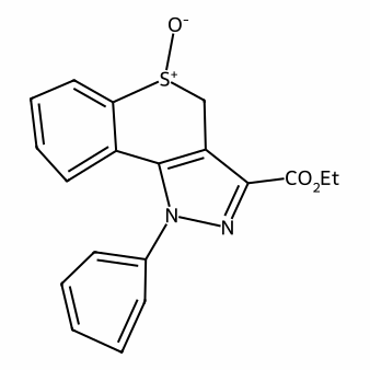 CCOC(=O)c1nn(-c2ccccc2)c2c1C[S+]([O-])c1ccccc1-2